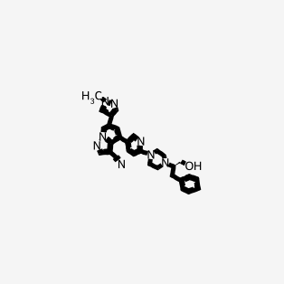 Cn1cc(-c2cc(-c3ccc(N4CCN([C@H](CO)Cc5ccccc5)CC4)nc3)c3c(C#N)cnn3c2)cn1